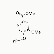 CCCOc1cnc(C(=O)OC)cc1OC